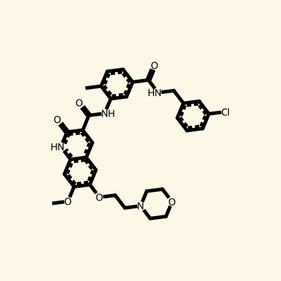 COc1cc2[nH]c(=O)c(C(=O)Nc3cc(C(=O)NCc4cccc(Cl)c4)ccc3C)cc2cc1OCCN1CCOCC1